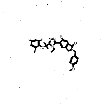 CCn1c(-c2cc3c(cc2F)C(=O)N(Cc2ccc(OC)cc2)C3)nnc1C(C)(C)Oc1c(F)cc(F)cc1F